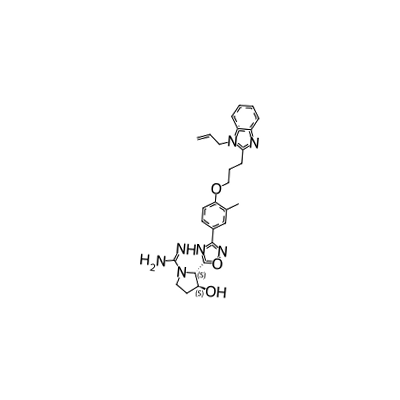 C=CCn1c(CCCOc2ccc(-c3noc([C@@H]4[C@@H](O)CCN4C(=N)N)n3)cc2C)nc2ccccc21